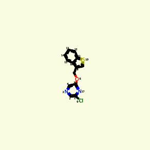 Clc1cncc(OCc2csc3ccccc23)n1